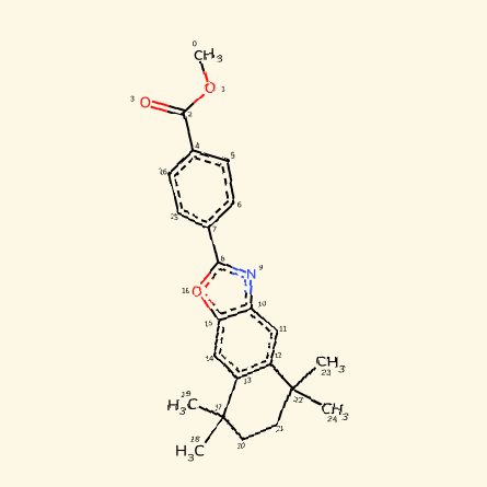 COC(=O)c1ccc(-c2nc3cc4c(cc3o2)C(C)(C)CCC4(C)C)cc1